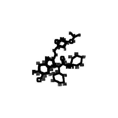 CC(C)Oc1cc(CCc2nc3cc(F)c(Cl)cc3n2C(C(=O)NC2CCCCC2)C2CCCCC2)on1